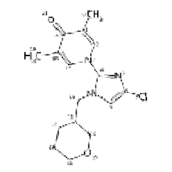 Cc1cn(-c2nc(Cl)cn2CC2CCCOC2)cc(C)c1=O